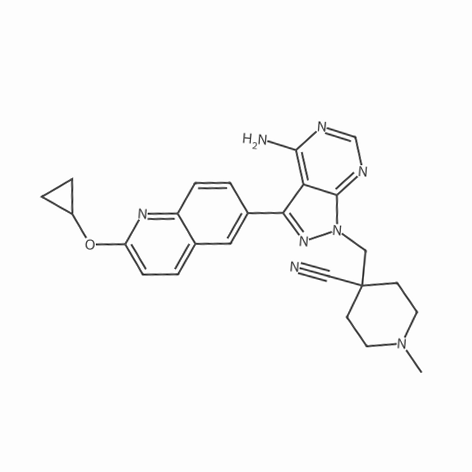 CN1CCC(C#N)(Cn2nc(-c3ccc4nc(OC5CC5)ccc4c3)c3c(N)ncnc32)CC1